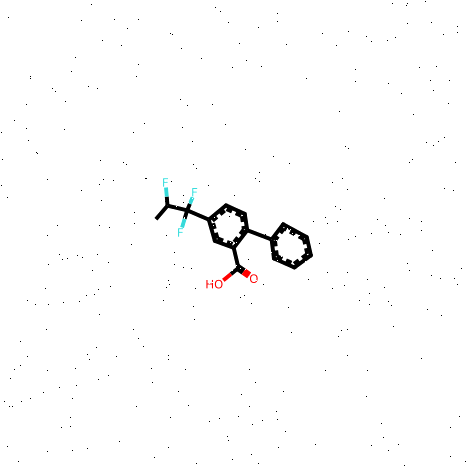 CC(F)C(F)(F)c1ccc(-c2ccccc2)c(C(=O)O)c1